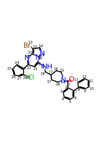 O=C(c1ccccc1-c1ccccc1)N1CCC(CNc2cc(-c3ccccc3Cl)nc3c(Br)cnn23)CC1